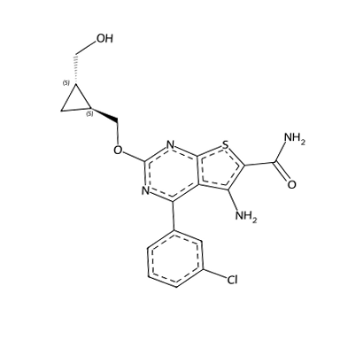 NC(=O)c1sc2nc(OC[C@H]3C[C@@H]3CO)nc(-c3cccc(Cl)c3)c2c1N